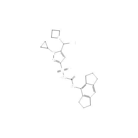 CC(c1cc(S(=O)(=O)NC(=O)Nc2c3c(cc4c2CCC4)CCC3)nn1C1CC1)N1CCC1